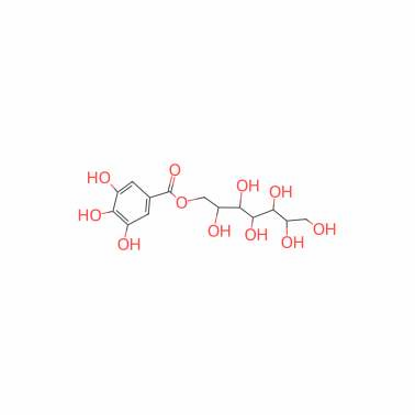 O=C(OCC(O)C(O)C(O)C(O)C(O)CO)c1cc(O)c(O)c(O)c1